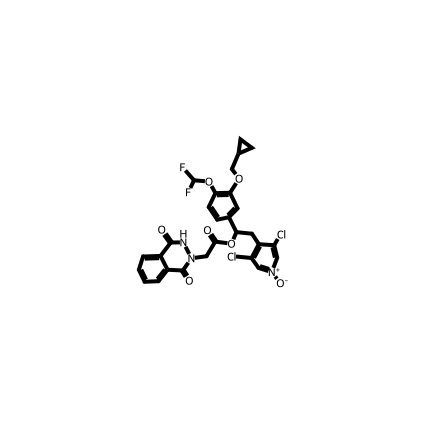 O=C(Cn1[nH]c(=O)c2ccccc2c1=O)OC(Cc1c(Cl)c[n+]([O-])cc1Cl)c1ccc(OC(F)F)c(OCC2CC2)c1